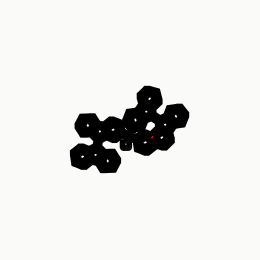 O=P(c1ccccc1)(c1ccc2c(c1)C(C1c3ccccc3-c3ccccc31)c1ccccc1-2)c1ccc2c(c1)C(C1c3ccccc3-c3ccccc31)c1ccccc1-2